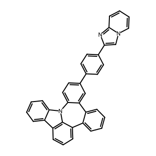 c1ccc2c(c1)-c1cc(-c3ccc(-c4cn5ccccc5n4)cc3)ccc1-n1c3ccccc3c3cccc-2c31